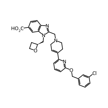 O=C(O)c1ccc2nc(CN3CC=C(c4cccc(OCc5cccc(Cl)c5)n4)CC3)n(C[C@@H]3CCO3)c2c1